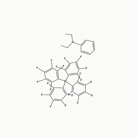 CCN(CC)c1ccccc1.Fc1c(F)c(F)c([B-](c2c(F)c(F)c(F)c(F)c2F)(c2c(F)c(F)c(F)c(F)c2F)c2c(F)c(F)c(F)c(F)c2F)c(F)c1F